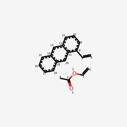 C=COC(C)=O.C=Cc1cccc2cc3ccccc3cc12